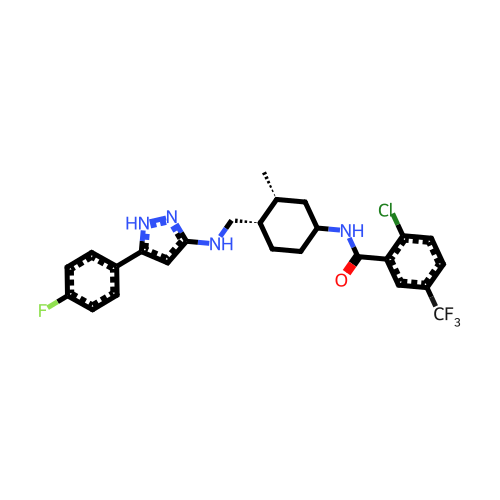 C[C@@H]1CC(NC(=O)c2cc(C(F)(F)F)ccc2Cl)CC[C@@H]1CNc1cc(-c2ccc(F)cc2)[nH]n1